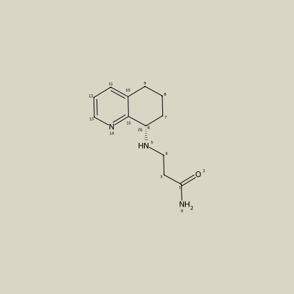 NC(=O)CCN[C@H]1CCCc2cccnc21